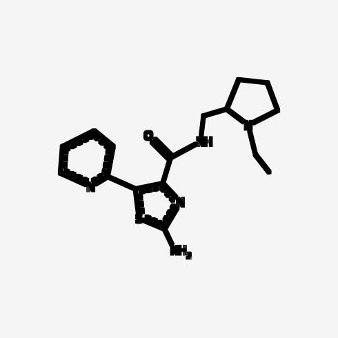 CCN1CCCC1CNC(=O)c1nc(N)sc1-c1ccccn1